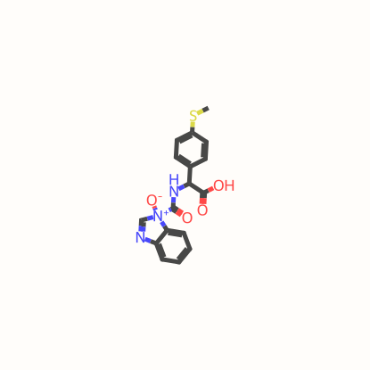 CSc1ccc(C(NC(=O)[N+]2([O-])C=Nc3ccccc32)C(=O)O)cc1